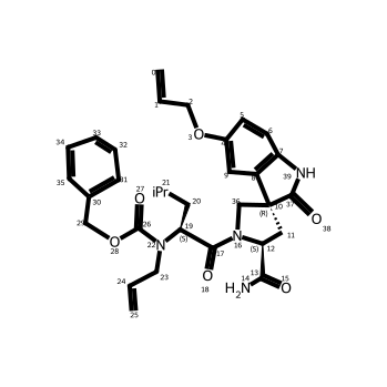 C=CCOc1ccc2c(c1)[C@@]1(C[C@@H](C(N)=O)N(C(=O)[C@H](CC(C)C)N(CC=C)C(=O)OCc3ccccc3)C1)C(=O)N2